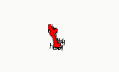 CN1CC[C@@H](OC(=O)C(c2ccccc2)c2cccc(OCCCCCNC[C@H](O)c3ccc(O)c4[nH]c(=O)ccc34)c2)C1